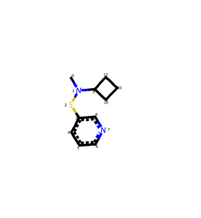 CN(Sc1cccnc1)C1CCC1